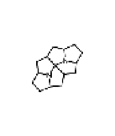 C1CC2CC3CC4CCC5CC6CC1N2C63N54